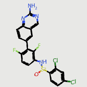 Nc1ncc2cc(-c3c(F)ccc(N[S+]([O-])c4ccc(Cl)cc4Cl)c3F)ccc2n1